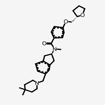 CN(C(=O)c1ccc(OC[C@@H]2CCCO2)cc1)[C@@H]1Cc2ccc(CN3CCC(C)(C)CC3)cc2C1